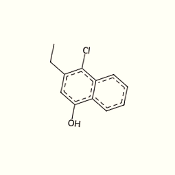 CCc1cc(O)c2ccccc2c1Cl